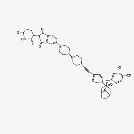 N#Cc1ccc(OC2CC3CCC(C2)N3C(=O)c2ccc(C#CC3CCN(C4CCN(c5ccc6c(c5)C(=O)N(C5CCC(=O)NC5=O)C6=O)CC4)CC3)cc2)cc1Cl